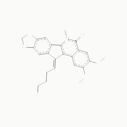 COc1cc2c3c(n(C)c(=O)c2cc1OC)-c1cc2c(cc1C3=CCCCCl)OCO2